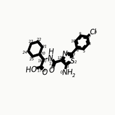 Nc1sc(-c2ccc(Cl)cc2)nc1C(=O)N[C@H](C(=O)O)C1CCCCC1